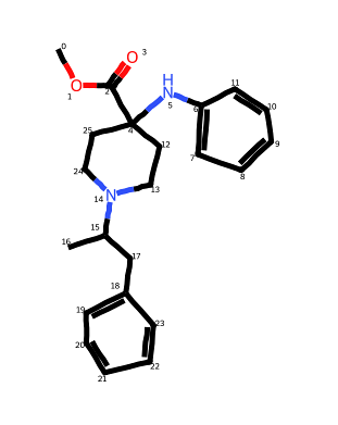 COC(=O)C1(Nc2ccccc2)CCN(C(C)Cc2ccccc2)CC1